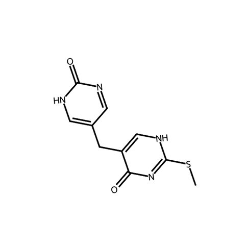 CSc1nc(=O)c(Cc2cnc(=O)[nH]c2)c[nH]1